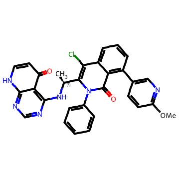 COc1ccc(-c2cccc3c(Cl)c([C@H](C)Nc4ncnc5[nH]ccc(=O)c45)n(-c4ccccc4)c(=O)c23)cn1